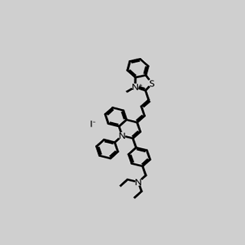 CCN(CC)Cc1ccc(C2=C/C(=C/C=C/c3sc4ccccc4[n+]3C)c3ccccc3N2c2ccccc2)cc1.[I-]